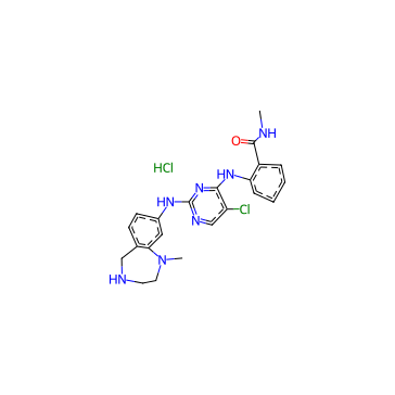 CNC(=O)c1ccccc1Nc1nc(Nc2ccc3c(c2)N(C)CCNC3)ncc1Cl.Cl